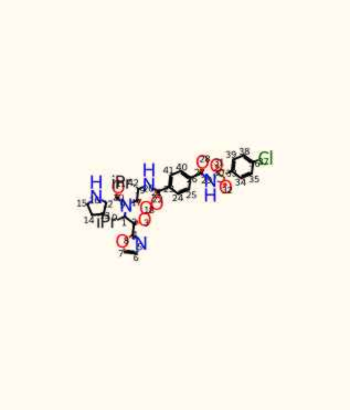 CC(C)C(C(=O)c1ncco1)N(C(=O)[C@@H]1CCCN1)C(=O)[C@@H](NC(=O)c1ccc(C(=O)NS(=O)(=O)c2ccc(Cl)cc2)cc1)C(C)C